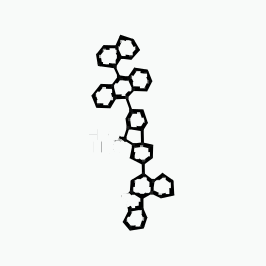 CC1(C)c2cc(-c3c4ccccc4c(-c4cccc5ccccc45)c4ccccc34)ccc2-c2ccc(-c3cc4sc5ccccc5c4c4ccccc34)cc21